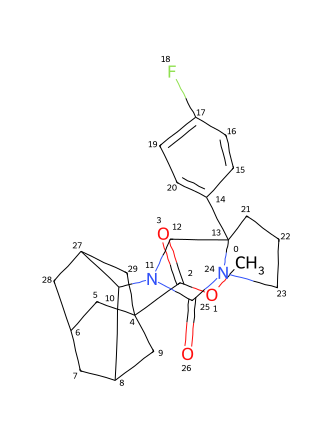 COC(=O)C12CC3CC(C1)C(N1CC4(c5ccc(F)cc5)CCCN4C1=O)C(C3)C2